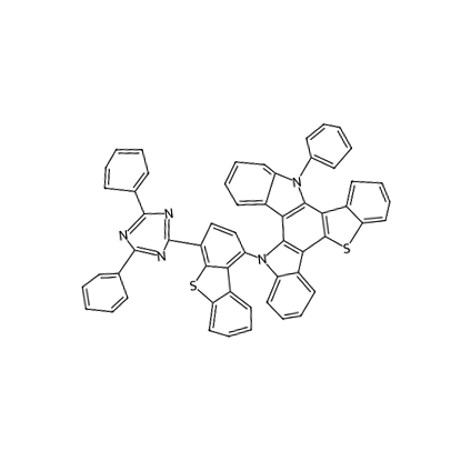 c1ccc(-c2nc(-c3ccccc3)nc(-c3ccc(-n4c5ccccc5c5c6sc7ccccc7c6c6c(c7ccccc7n6-c6ccccc6)c54)c4c3sc3ccccc34)n2)cc1